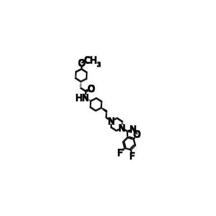 CO[C@H]1CC[C@H](CC(=O)N[C@H]2CC[C@H](CCN3CCN(c4noc5cc(F)c(F)cc45)CC3)CC2)CC1